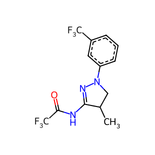 CC1CN(c2cccc(C(F)(F)F)c2)N=C1NC(=O)C(F)(F)F